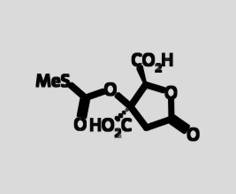 CSC(=O)O[C@]1(C(=O)O)CC(=O)O[C@@H]1C(=O)O